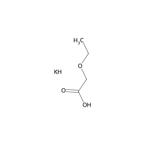 CCOCC(=O)O.[KH]